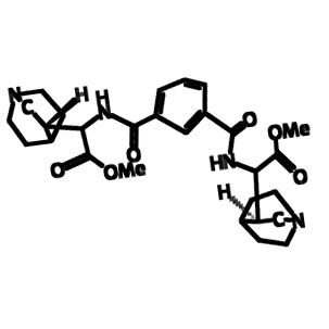 COC(=O)C(NC(=O)c1cccc(C(=O)NC(C(=O)OC)[C@H]2CN3CCC2CC3)c1)[C@H]1CN2CCC1CC2